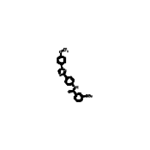 CC(C)COc1cccc(C(=O)Nc2ccc(-c3ncn(-c4ccc(OC(F)(F)F)cc4)n3)cc2)c1